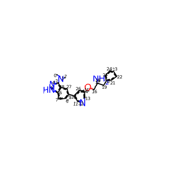 CN(C)c1n[nH]c2ccc(-c3cncc(OCC(N)Cc4ccccc4)c3)cc12